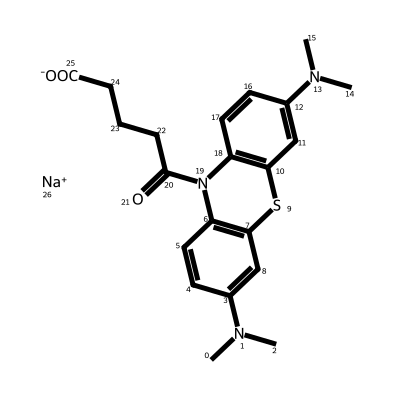 CN(C)c1ccc2c(c1)Sc1cc(N(C)C)ccc1N2C(=O)CCCC(=O)[O-].[Na+]